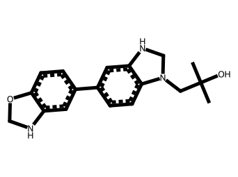 CC(C)(O)CN1CNc2cc(-c3ccc4c(c3)NCO4)ccc21